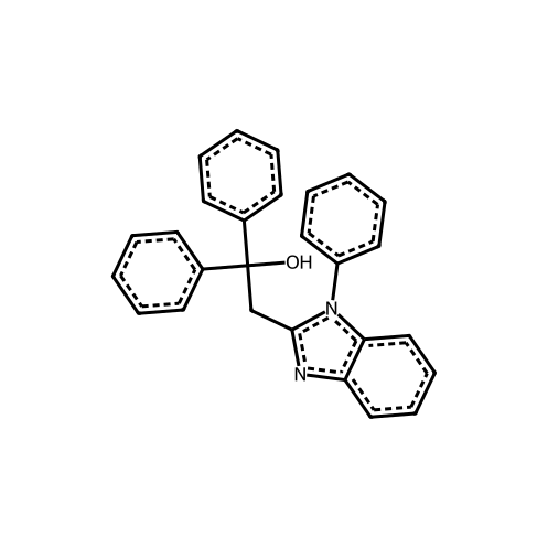 OC(Cc1nc2ccccc2n1-c1ccccc1)(c1ccccc1)c1ccccc1